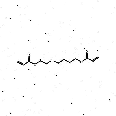 C=CC(=O)OCCCCOCCOC(=O)C=C